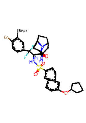 COc1cc(C(F)(F)C(NS(=O)(=O)c2ccc3cc(OC4CCCC4)ccc3c2)C(=O)N2C3CCC2CC(N)C3)ccc1Br